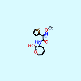 CCO/N=C(/C(=O)NC1CC=CCOB1O)c1cccs1